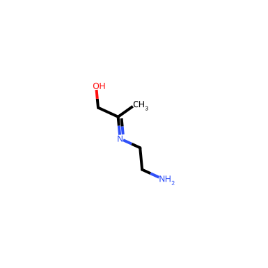 C/C(CO)=N\CCN